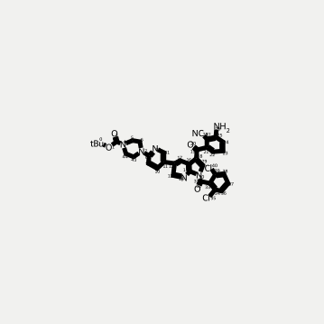 CC(C)(C)OC(=O)N1CCN(c2ccc(-c3cnc4c(c3)c(C(=O)c3cccc(N)c3C#N)cn4C(=O)c3c(Cl)cccc3Cl)cn2)CC1